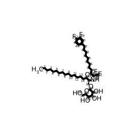 CCCCCCCCCCCCCCC[C@@H](O)[C@H](COC1OC(CO)C(O)C(O)C1O)NC(CCCCCCCCCCc1ccc(F)c(F)c1)C(F)(F)F